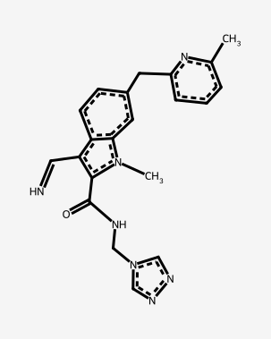 Cc1cccc(Cc2ccc3c(C=N)c(C(=O)NCn4cnnc4)n(C)c3c2)n1